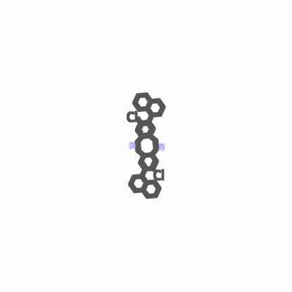 ClC1=CC2/C=C\c3cc(C4CCCC5CCCCC54)c(Cl)cc3/C=C\C2C=C1C1CCCC2CCCCC21